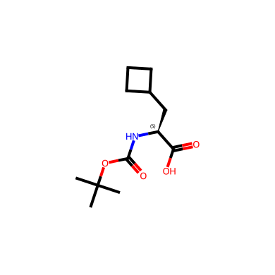 CC(C)(C)OC(=O)N[C@@H](CC1CCC1)C(=O)O